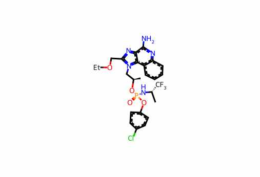 CCOCc1nc2c(N)nc3ccccc3c2n1C[C@@H](C)O[P@@](=O)(N[C@@H](C)C(F)(F)F)Oc1ccc(Cl)cc1